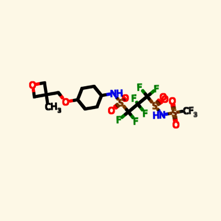 CC1(COC2CCC(NS(=O)(=O)C(F)(F)C(F)(F)C(F)(F)S(=O)(=O)NS(=O)(=O)C(F)(F)F)CC2)COC1